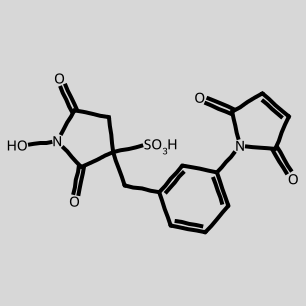 O=C1CC(Cc2cccc(N3C(=O)C=CC3=O)c2)(S(=O)(=O)O)C(=O)N1O